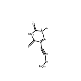 C=C1NC(=O)N(C)C=C1C#CCO